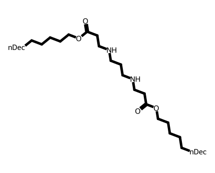 CCCCCCCCCCCCCCCOC(=O)CCNCCCNCCC(=O)OCCCCCCCCCCCCCCC